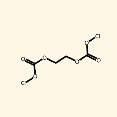 O=C(OCl)OCCOC(=O)OCl